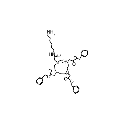 NCCCCCCNC(=O)CN1CCN(CC(=O)OCc2ccccc2)CCN(CC(=O)OCc2ccccc2)CCN(CC(=O)OCc2ccccc2)CC1